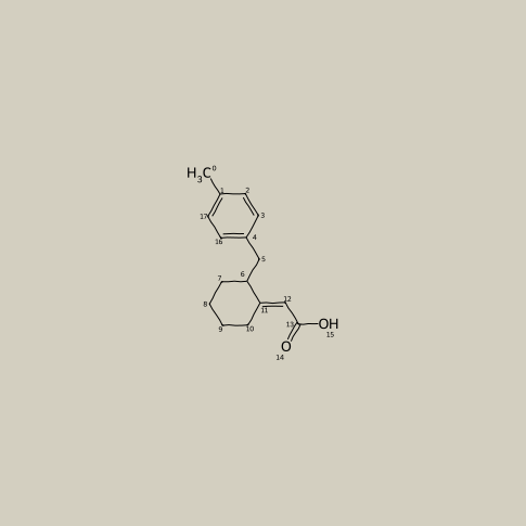 Cc1ccc(CC2CCCC/C2=C\C(=O)O)cc1